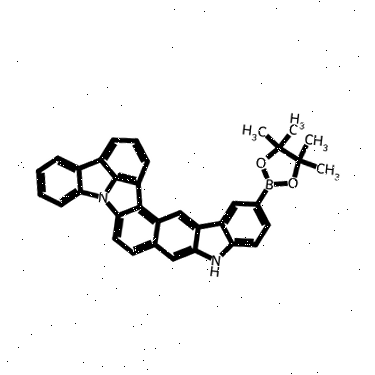 CC1(C)OB(c2ccc3[nH]c4cc5ccc6c(c5cc4c3c2)c2cccc3c4ccccc4n6c32)OC1(C)C